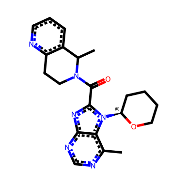 Cc1ncnc2nc(C(=O)N3CCc4ncccc4C3C)n([C@H]3CCCCO3)c12